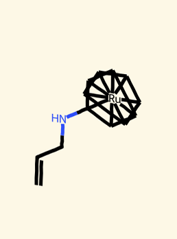 C=CCN[C]12[CH]3[CH]4[CH]5[CH]1[Ru]45321678[CH]2[CH]1[CH]6[CH]7[CH]28